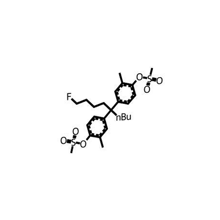 CCCCC(CCCCF)(c1ccc(OS(C)(=O)=O)c(C)c1)c1ccc(OS(C)(=O)=O)c(C)c1